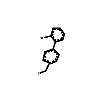 N#Cc1ccccc1-c1ccc(CF)cc1